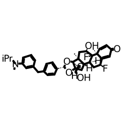 CC(C)N(C)c1cccc(Cc2ccc([C@H]3O[C@@H]4C[C@H]5[C@@H]6C[C@H](F)C7=CC(=O)C=C[C@]7(C)[C@@]6(F)[C@@H](O)C[C@]5(C)[C@]4(C(=O)CO)O3)cc2)c1